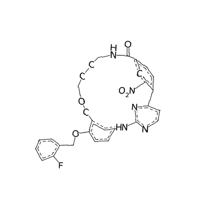 O=C1NCCCCOCc2cc(ccc2OCc2ccccc2F)Nc2nccc(n2)-c2ccc1cc2[N+](=O)[O-]